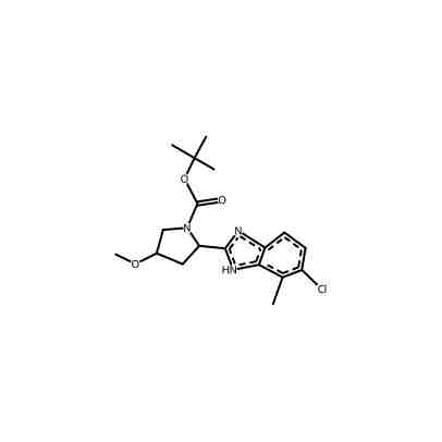 COC1CC(c2nc3ccc(Cl)c(C)c3[nH]2)N(C(=O)OC(C)(C)C)C1